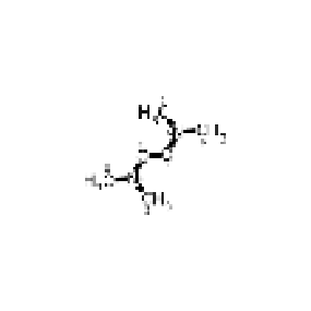 CN(C)OON(C)C